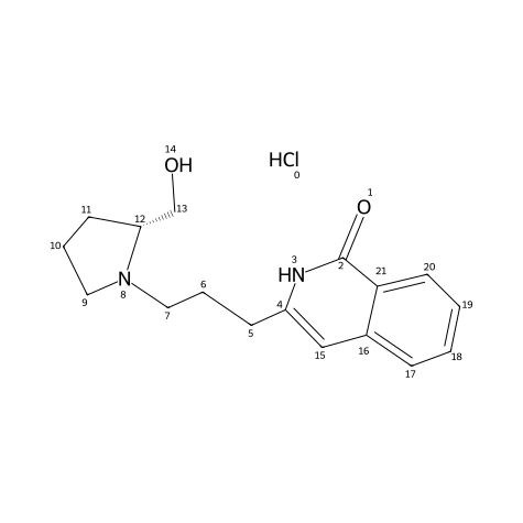 Cl.O=c1[nH]c(CCCN2CCC[C@@H]2CO)cc2ccccc12